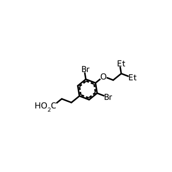 CCC(CC)COc1c(Br)cc(CCC(=O)O)cc1Br